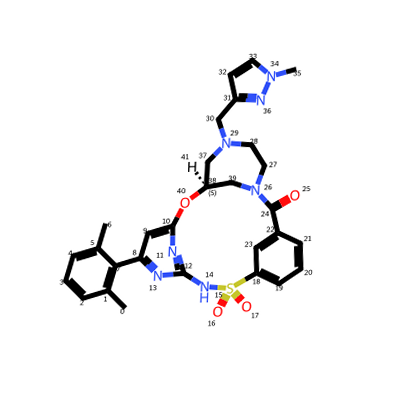 Cc1cccc(C)c1-c1cc2nc(n1)NS(=O)(=O)c1cccc(c1)C(=O)N1CCN(Cc3ccn(C)n3)C[C@@H](C1)O2